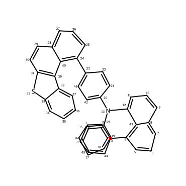 c1ccc(-c2cccc3cccc(N(c4ccccc4)c4ccc(-c5cccc6ccc7sc8ccccc8c7c56)cc4)c23)cc1